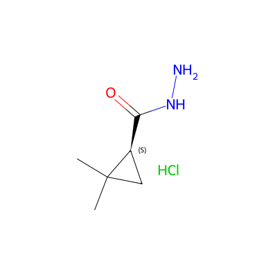 CC1(C)C[C@@H]1C(=O)NN.Cl